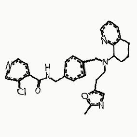 Cc1ncc(CCN(Cc2ccc(CNC(=O)c3ccncc3Cl)cc2)C2CCCc3cccnc32)o1